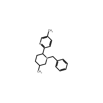 Cc1ccc(C2CCC(C)CN2Cc2ccccc2)nc1